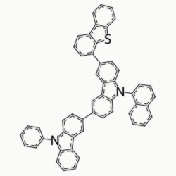 c1ccc(-n2c3ccccc3c3cc(-c4ccc5c(c4)c4cc(-c6cccc7c6sc6ccccc67)ccc4n5-c4cccc5ccccc45)ccc32)cc1